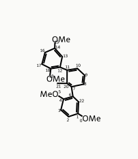 COc1ccc(OC)c(-c2cccc(-c3cc(OC)ccc3OC)c2C)c1